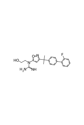 CC(C)(c1ccc(-c2ccccc2F)cc1)c1cc(N(CCO)C(=N)N)on1